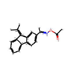 CC(=O)O/N=C(\C)c1ccc2c(c1)C(=C(C)C)c1ccccc1-2